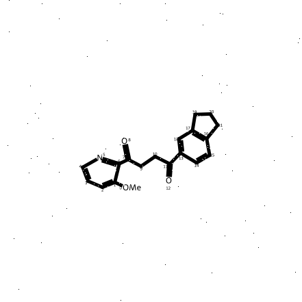 COc1cccnc1C(=O)CCC(=O)c1ccc2c(c1)CCC2